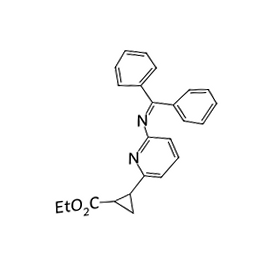 CCOC(=O)C1CC1c1cccc(N=C(c2ccccc2)c2ccccc2)n1